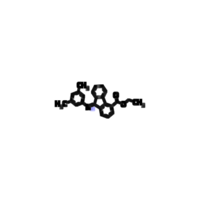 CCOC(=O)c1cccc2c1-c1ccccc1/C2=N\c1cc(C)cc(C)c1